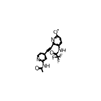 COc1ccc(NC(=O)C(F)(F)F)c(C#Cc2ccnc(NC(C)=O)c2)n1